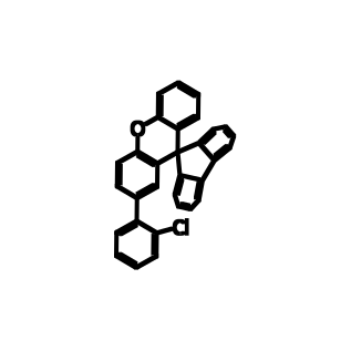 Clc1ccccc1-c1ccc2c(c1)C1(c3ccccc3O2)c2ccccc2-c2ccccc21